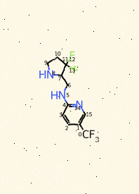 FC(F)(F)c1ccc(NCC2NCCC2(F)F)nc1